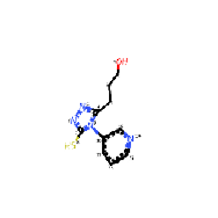 OCCCc1nnc(S)n1-c1cccnc1